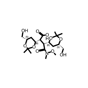 CON(C)C(=O)C(C(C(=O)O)[C@H]1C[C@@H](CO)OC(C)(C)O1)[C@H]1C[C@@H](CO)OC(C)(C)O1